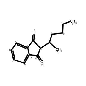 CCCCC(C)[C]1C(=O)c2ccccc2C1=O